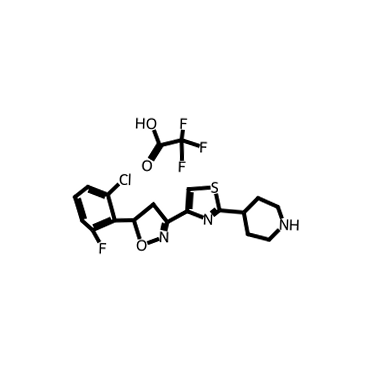 Fc1cccc(Cl)c1C1CC(c2csc(C3CCNCC3)n2)=NO1.O=C(O)C(F)(F)F